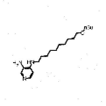 CCCCOCCCCCCCCCCNc1ccncc1N